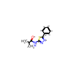 CC(C)C(=O)Nc1nnc(-c2ccccc2)s1